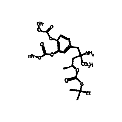 CCCOC(=O)Oc1ccc(CC(N)(C[C@H](C)OC(=O)OC(C)(C)CC)C(=O)O)cc1OC(=O)OCCC